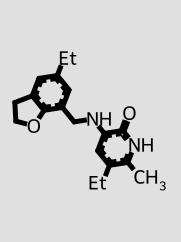 CCc1cc2c(c(CNc3cc(CC)c(C)[nH]c3=O)c1)OCC2